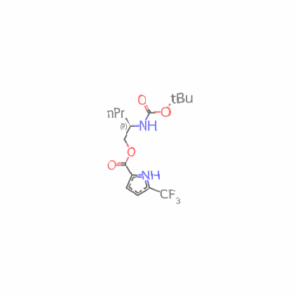 CCC[C@H](COC(=O)c1ccc(C(F)(F)F)[nH]1)NC(=O)OC(C)(C)C